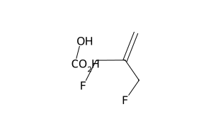 C=C(CF)CF.O=C(O)O